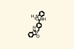 Nc1ccccc1NC(=O)c1ccc(Cn2[nH]c3ccccc3c2=O)cc1